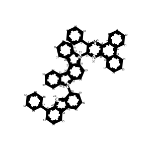 c1ccc(-c2nc3c4ccccc4c4ccccc4c3nc2-n2c3ccccc3c3c4c5ccccc5n(-c5cccc6c5oc5c(-c7ccccc7)cccc56)c4ccc32)cc1